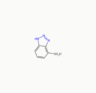 O=S(=O)(O)c1cccc2[nH]nnc12